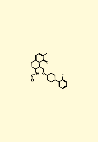 CCSNC1CCc2ccc(C)c(=O)n2C1COC1CCC(c2ccccc2F)CC1